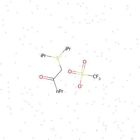 CCCC(=O)C[S+](C(C)C)C(C)C.O=S(=O)([O-])C(F)(F)F